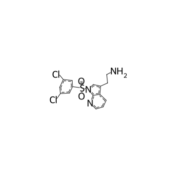 NCCc1cn(S(=O)(=O)c2cc(Cl)cc(Cl)c2)c2ncccc12